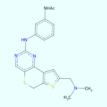 CC(=O)Nc1cccc(Nc2ncc3c(n2)-c2cc(CN(C)C)sc2CS3)c1